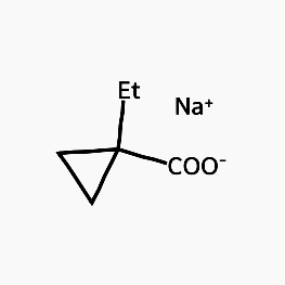 [CH2]CC1(C(=O)[O-])CC1.[Na+]